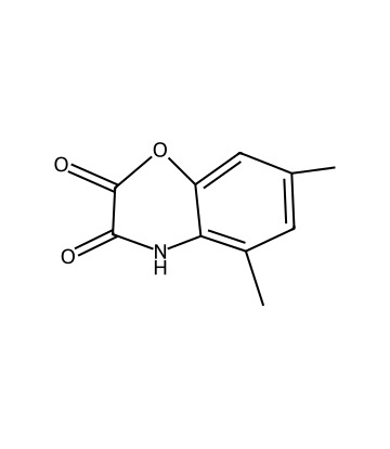 Cc1cc(C)c2[nH]c(=O)c(=O)oc2c1